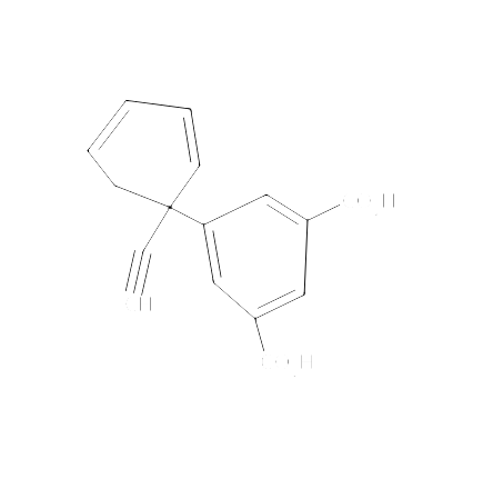 C#CC1(c2cc(C(=O)O)cc(C(=O)O)c2)C=CC=CC1